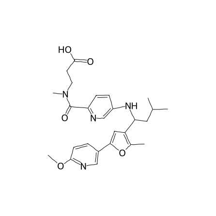 COc1ccc(-c2cc(C(CC(C)C)Nc3ccc(C(=O)N(C)CCC(=O)O)nc3)c(C)o2)cn1